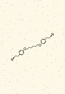 N#CCCc1ccc(OCCCCCCOc2ccc(CCC#N)cc2)cc1